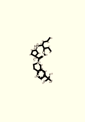 C=C(N1CCc2ncc(C(F)(F)F)cc2C1)[C@@]1(C)CC[C@@H](NC(CCC)C(CC)OC)C1